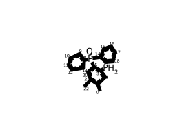 Cc1cc(P)c(P(=O)(c2ccccc2)c2ccccc2)cc1C